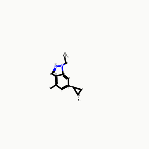 Cc1cc([C@H]2C[C@@H]2C)cc2c1cnn2CC(F)(F)F